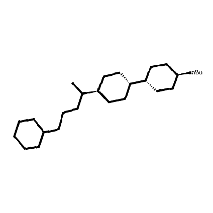 CCCC[C@H]1CC[C@H]([C@H]2CC[C@H](C(C)CCCC3CCCCC3)CC2)CC1